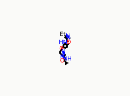 CCc1cc(C(=O)Nc2cc(Oc3ccc4nc(NC(=O)C5CC5)cn4n3)ccc2C)n(C)n1